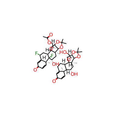 CC(=O)OCC(=O)[C@@]12OC(C)(C)O[C@@H]1C[C@H]1[C@@H]3C[C@H](F)C4=CC(=O)C=C[C@]4(C)[C@@]3(F)[C@@H](O)C[C@@]12C.CC1(C)O[C@@H]2C[C@H]3[C@@H]4CCC5=CC(=O)C=C[C@]5(C)[C@H]4[C@@H](O)C[C@]3(C)[C@]2(C(=O)CO)O1